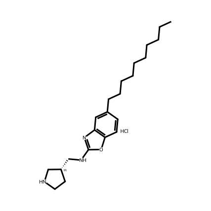 CCCCCCCCCCc1ccc2oc(NC[C@@H]3CCNC3)nc2c1.Cl